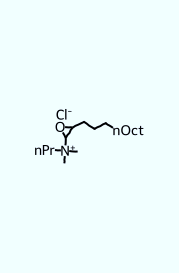 CCCCCCCCCCCC1OC1[N+](C)(C)CCC.[Cl-]